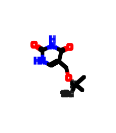 CC(C)(C)[Si](C)(C)OCc1c[nH]c(=O)[nH]c1=O